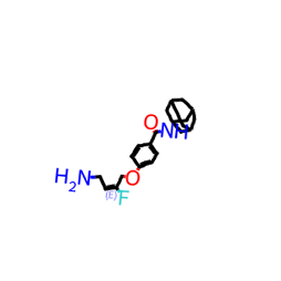 NC/C=C(/F)COc1ccc(C(=O)NC23CC4CC(CC(C4)C2)C3)cc1